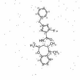 CC1[C@@H](NC(=O)c2nn(Cc3ccccc3)cc2F)[C@H](C)Oc2cccnc2N1C